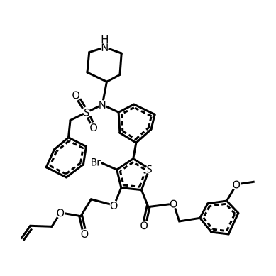 C=CCOC(=O)COc1c(C(=O)OCc2cccc(OC)c2)sc(-c2cccc(N(C3CCNCC3)S(=O)(=O)Cc3ccccc3)c2)c1Br